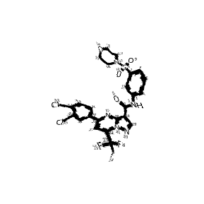 O=C(Nc1cccc(S(=O)(=O)N2CCOCC2)c1)c1cnn2c(C(F)(F)F)cc(-c3ccc(Cl)c(Cl)c3)nc12